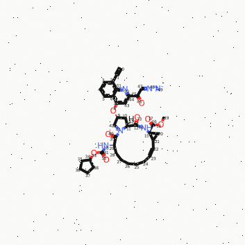 C#Cc1cccc2c(O[C@@H]3C[C@H]4C(=O)N[C@]5(C(=O)OC)CC5/C=C\CCCCC[C@H](NC(=O)OC5CCCC5)C(=O)N4C3)cc(C(=O)C=[N+]=[N-])nc12